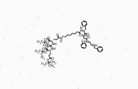 CC(C)(C)OC(=O)CC[C@H](NC(=O)N[C@@H](CCC(=O)NCCCCCCCC(=O)N[C@@H](Cc1ccccc1)C(=O)N[C@@H](Cc1ccccc1)C(=O)NCCNCc1ccccc1)C(=O)OC(C)(C)C)C(=O)OC(C)(C)C